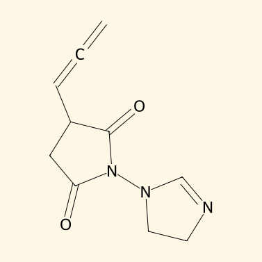 C=C=CC1CC(=O)N(N2C=NCC2)C1=O